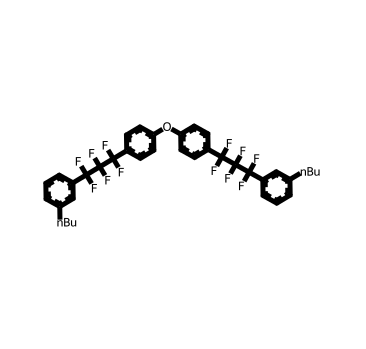 CCCCc1cccc(C(F)(F)C(F)(F)C(F)(F)c2ccc(Oc3ccc(C(F)(F)C(F)(F)C(F)(F)c4cccc(CCCC)c4)cc3)cc2)c1